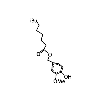 CCC(C)CCCCCC(=O)OCc1ccc(O)c(OC)c1